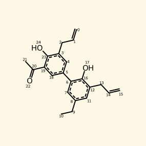 C=CCc1cc(-c2cc(CC)cc(CC=C)c2O)cc(C(C)=O)c1O